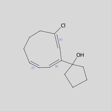 OC1(C2=C/C=C\CCC/C(Cl)=C\2)CCCC1